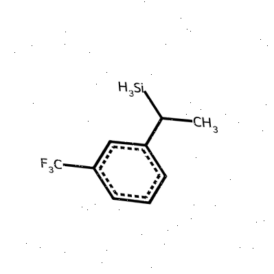 CC([SiH3])c1cccc(C(F)(F)F)c1